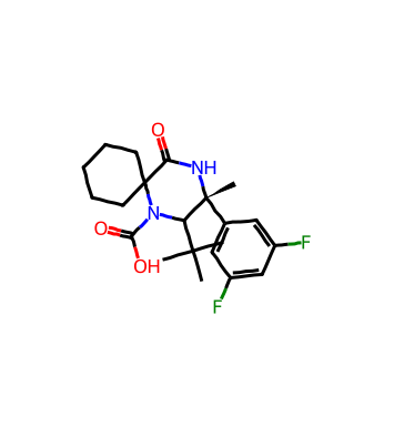 CC(C)(C)C1N(C(=O)O)C2(CCCCC2)C(=O)N[C@]1(C)c1cc(F)cc(F)c1